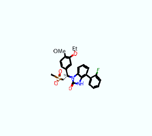 CCOc1cc([C@@H](CS(C)(=O)=O)n2c(=O)[nH]c3c(-c4ccccc4F)cccc32)ccc1OC